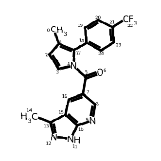 Cc1ccn(C(=O)c2cnc3[nH]nc(C)c3c2)c1-c1ccc(C(F)(F)F)cc1